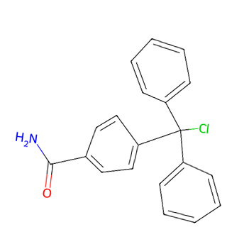 NC(=O)c1ccc(C(Cl)(c2ccccc2)c2ccccc2)cc1